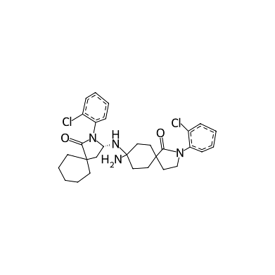 NC1(N[C@@H]2CC3(CCCCC3)C(=O)N2c2ccccc2Cl)CCC2(CCN(c3ccccc3Cl)C2=O)CC1